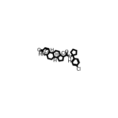 C[C@]12C=CC(=O)NC1CC[C@@H]1[C@H]2CC[C@]2(C)C(C(=O)NC3(c4ccc(Cl)cc4)CCCC3)CC[C@@H]12